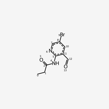 CCC(=O)Nc1ncc(Br)cc1C=O